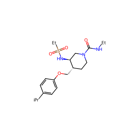 CCNC(=O)N1CC[C@H](COc2ccc(C(C)C)cc2)[C@@H](NS(=O)(=O)CC)C1